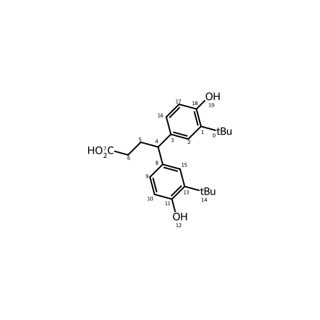 CC(C)(C)c1cc(C(CCC(=O)O)c2ccc(O)c(C(C)(C)C)c2)ccc1O